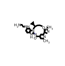 Cc1cc2cc(n1)-c1cnn(C)c1OCCCC(C1CC1)CN1/C(=N/C2=O)Nc2ccc(NCCN)cc21